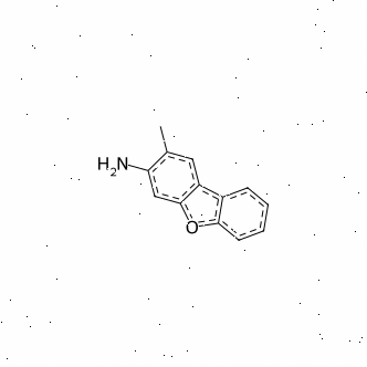 Cc1cc2c(cc1N)oc1ccccc12